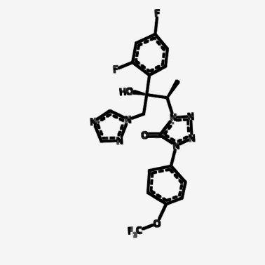 C[C@@H](n1nnn(-c2ccc(OC(F)(F)F)cc2)c1=O)[C@](O)(Cn1cncn1)c1ccc(F)cc1F